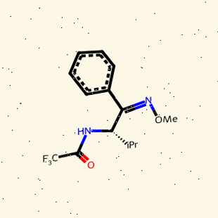 CON=C(c1ccccc1)[C@@H](NC(=O)C(F)(F)F)C(C)C